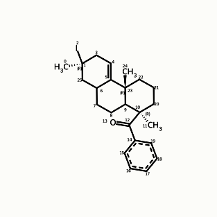 C[C@]1(I)CC=C2C(CCC3[C@](C)(C(=O)c4ccccc4)CCC[C@@]23C)C1